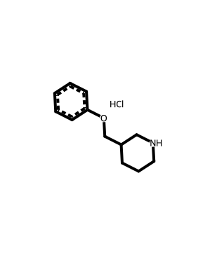 Cl.c1ccc(OCC2CCCNC2)cc1